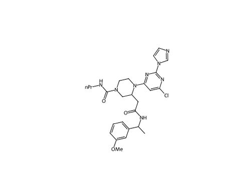 CCCNC(=O)N1CCN(c2cc(Cl)nc(-n3ccnc3)n2)C(CC(=O)NC(C)c2cccc(OC)c2)C1